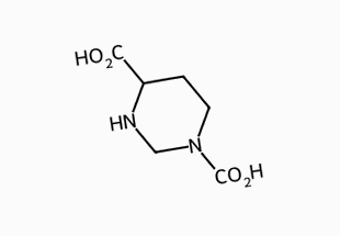 O=C(O)C1CCN(C(=O)O)CN1